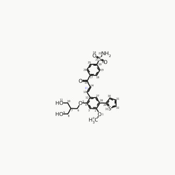 COc1cc(OCC(CO)CO)c(/C=C/C(=O)c2ccc(S(N)(=O)=O)cc2)cc1-c1cccs1